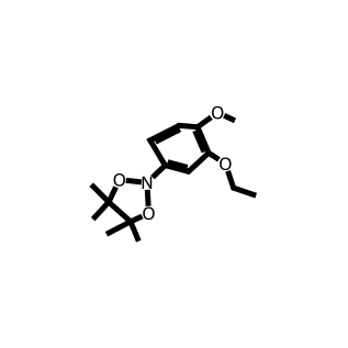 CCOc1cc(N2OC(C)(C)C(C)(C)O2)ccc1OC